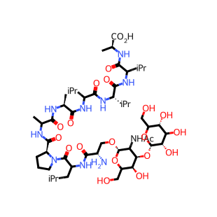 CC(=O)NC1[C@@H](OC[C@H](N)C(=O)NC(CC(C)C)C(=O)N2CCC[C@H]2C(=O)NC(C)C(=O)N[C@@H](C)C(=O)NC(C(=O)N[C@H](C(=O)NC(C(=O)N[C@@H](C)C(=O)O)C(C)C)C(C)C)C(C)C)OC(CO)[C@H](O)[C@@H]1O[C@@H]1OC(CO)[C@H](O)C(O)[C@@H]1O